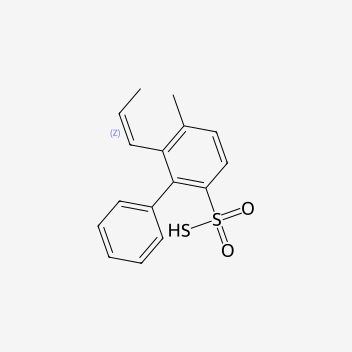 C/C=C\c1c(C)ccc(S(=O)(=O)S)c1-c1ccccc1